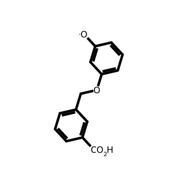 [O]c1cccc(OCc2cccc(C(=O)O)c2)c1